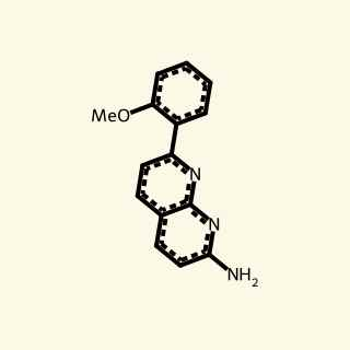 COc1ccccc1-c1ccc2ccc(N)nc2n1